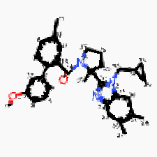 COc1cccc(-c2ccc(C)cc2C(=O)N2CCCC2(C)c2nc3cc(C)c(C)cc3n2CC2CC2)c1